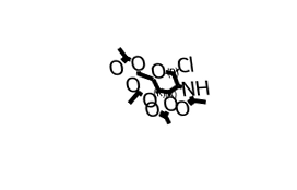 CC(=O)NC1[C@@H](OC(C)=O)[C@@H](OC(C)=O)C(COC(C)=O)O[C@@H]1Cl